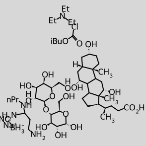 CC(C)COC(=O)Cl.CCCNC(N)CCN.CCN(CC)CC.C[C@H](CCC(=O)O)[C@H]1CCC2C3C(C[C@H](O)[C@@]21C)[C@@]1(C)CC[C@@H](O)C[C@H]1C[C@H]3O.OC[C@H]1O[C@@H](O[C@H]2[C@H](O)[C@@H](O)[C@@H](O)O[C@@H]2CO)[C@H](O)[C@@H](O)[C@H]1O.[BH3-]C#N.[Na+]